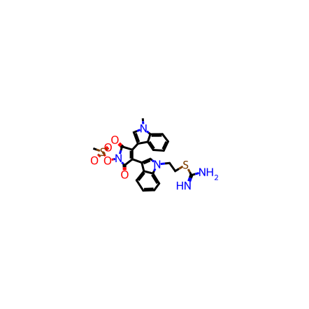 Cn1cc(C2=C(c3cn(CCSC(=N)N)c4ccccc34)C(=O)N(OS(C)(=O)=O)C2=O)c2ccccc21